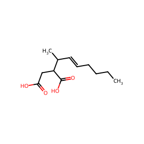 CCCC/C=C/C(C)C(CC(=O)O)C(=O)O